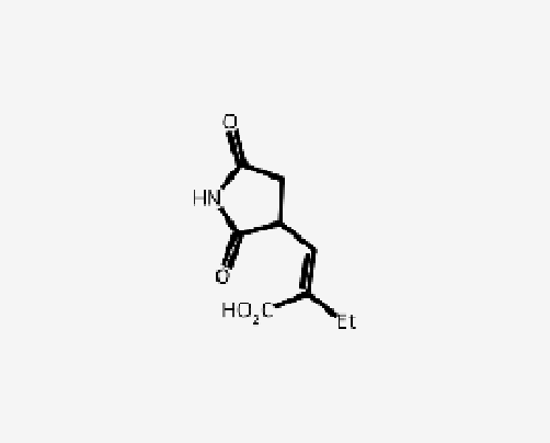 CCC(=CC1CC(=O)NC1=O)C(=O)O